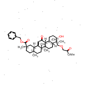 COC(=O)COC[C@@]1(C)[C@@H]2CC[C@]3(C)[C@H](C(=O)C=C4[C@@H]5C[C@@](C)(C(=O)OCc6ccccc6)CC[C@]5(C)CC[C@]43C)[C@@]2(C)CC[C@@H]1O